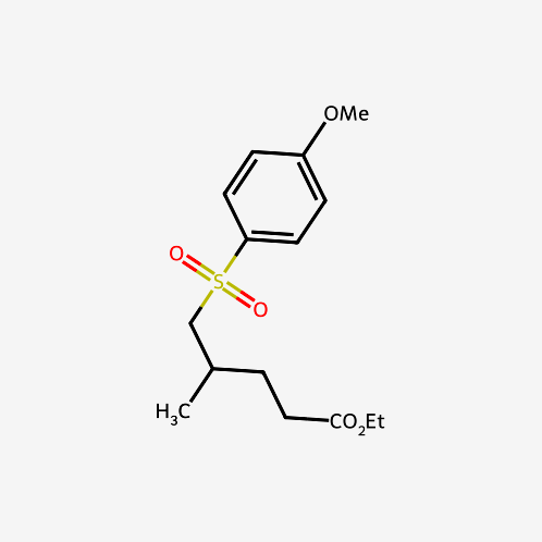 CCOC(=O)CCC(C)CS(=O)(=O)c1ccc(OC)cc1